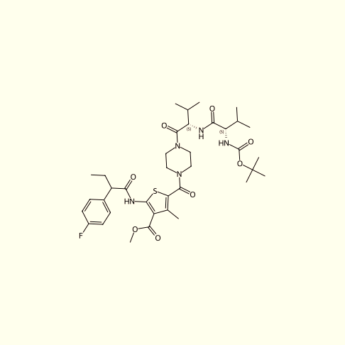 CCC(C(=O)Nc1sc(C(=O)N2CCN(C(=O)[C@@H](NC(=O)[C@@H](NC(=O)OC(C)(C)C)C(C)C)C(C)C)CC2)c(C)c1C(=O)OC)c1ccc(F)cc1